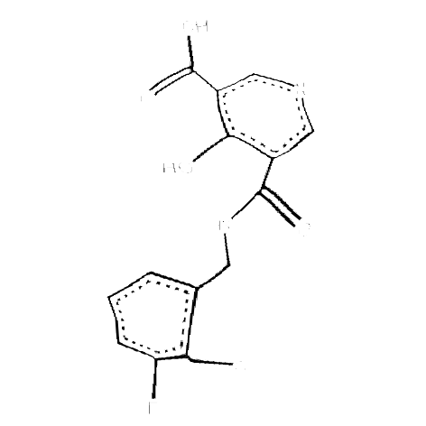 O=C(O)c1cncc(C(=O)NCc2cccc(F)c2Cl)c1O